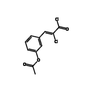 CC(=O)Oc1cccc(C=C(Cl)C(=O)Cl)c1